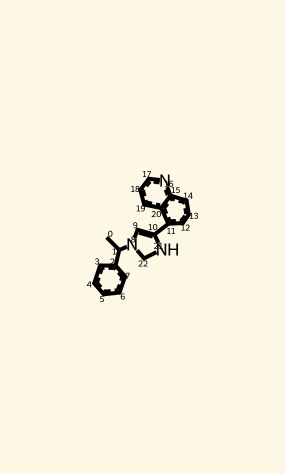 CC(c1ccccc1)N1C=C(c2cccc3ncccc23)NC1